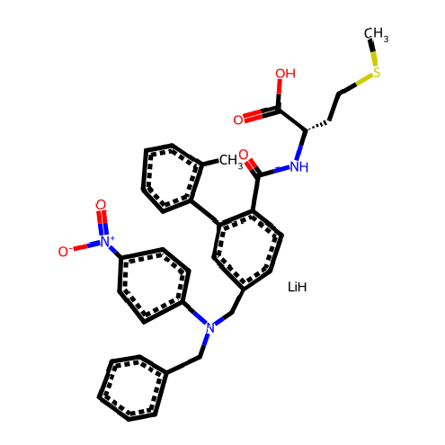 CSCC[C@H](NC(=O)c1ccc(CN(Cc2ccccc2)c2ccc([N+](=O)[O-])cc2)cc1-c1ccccc1C)C(=O)O.[LiH]